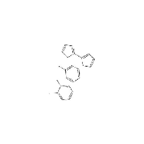 C1=CCC(C2=CC=CC2)=C1.Cc1ccccc1.Cc1ccccc1C